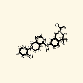 CC(=O)N1Cc2cc(Nc3ncnc4c3CCN(c3ncccc3Cl)C4)ccc2C(C)(C)C1